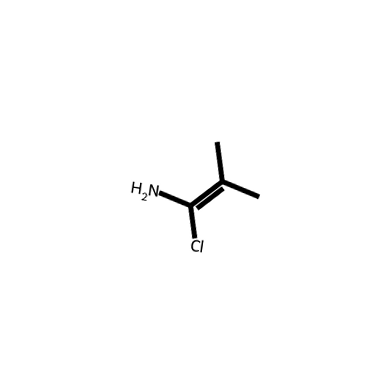 CC(C)=C(N)Cl